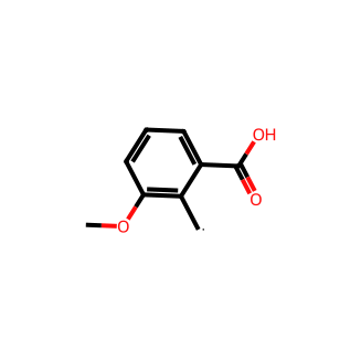 [CH2]c1c(OC)cccc1C(=O)O